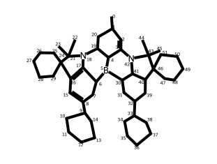 CC1C=C2C3B(C4CC(C5CCCCC5)=CC5=C4N(C3C1)C(C)(C)C51CCCCC1)C1CC(C3CCCCC3)CC3C1N2C(C)(C)C31CCCCC1